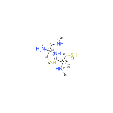 CNC[C@@](N)(CS)NC[C@@](C)(CS)NC